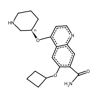 NC(=O)c1cc2nccc(O[C@@H]3CCCNC3)c2cc1OC1CCC1